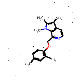 Cc1ccc(OCc2nccc3c(C)c(C)n(C)c23)c(C)c1